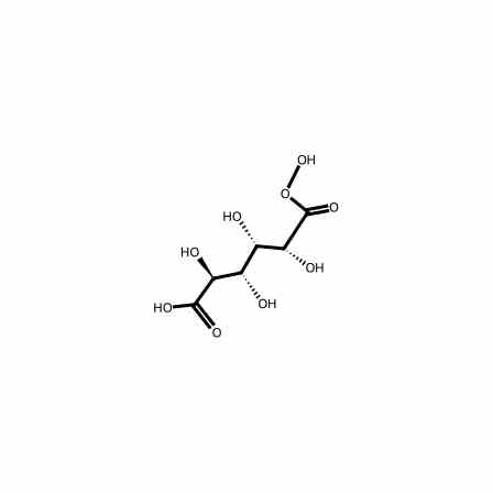 O=C(O)[C@@H](O)[C@@H](O)[C@H](O)[C@@H](O)C(=O)OO